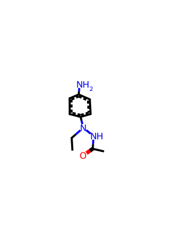 CCN(NC(C)=O)c1ccc(N)cc1